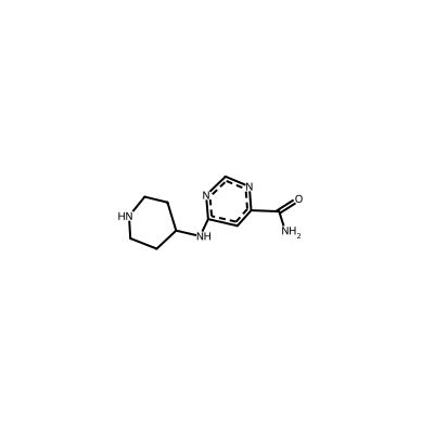 NC(=O)c1cc(NC2CCNCC2)ncn1